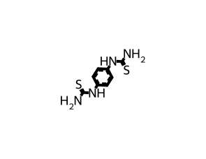 NC(=S)Nc1ccc(NC(N)=S)cc1